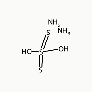 N.N.OS(O)(=S)=S